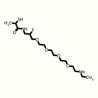 CCNCCOCCOCCOCCOCC(F)CNC(=O)C(C)S